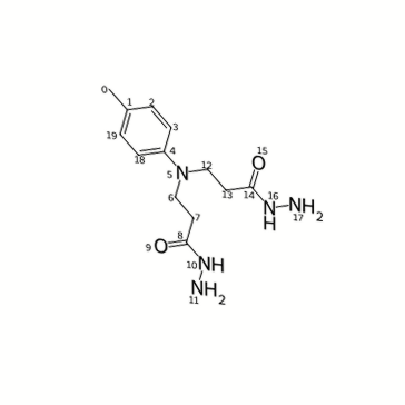 Cc1ccc(N(CCC(=O)NN)CCC(=O)NN)cc1